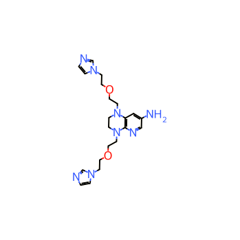 Nc1cnc2c(c1)N(CCOCCn1ccnc1)CCN2CCOCCn1ccnc1